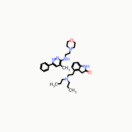 CCCN(CCC)CCc1cccc2c1CC(=O)N2.Cc1cc(-c2ccccc2)nnc1NCCN1CCOCC1